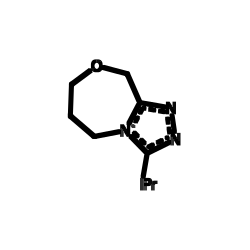 CC(C)c1nnc2n1CCCOC2